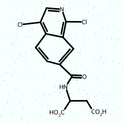 O=C(O)CC(NC(=O)c1ccc2c(Cl)cnc(Cl)c2c1)C(=O)O